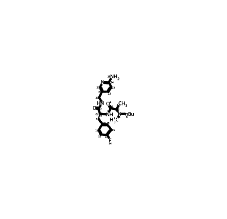 CCCCN(C)C(C)C(=O)N[C@@H](Cc1ccc(F)cc1)C(=O)NCc1ccc(N)nc1